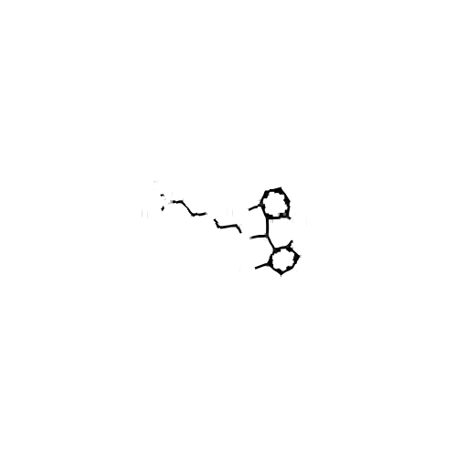 Cc1cccc(C)c1C(OCCOCCN(C)C)c1c(C)cccc1C